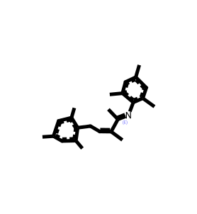 CC(=CCc1c(C)cc(C)cc1C)/C(C)=N/c1c(C)cc(C)cc1C